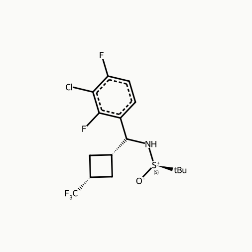 CC(C)(C)[S@@+]([O-])NC(c1ccc(F)c(Cl)c1F)[C@H]1C[C@@H](C(F)(F)F)C1